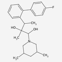 CC1CC(C)CN(C(O)C(C)(O)C(C)c2ccccc2-c2ccc(F)cc2)C1